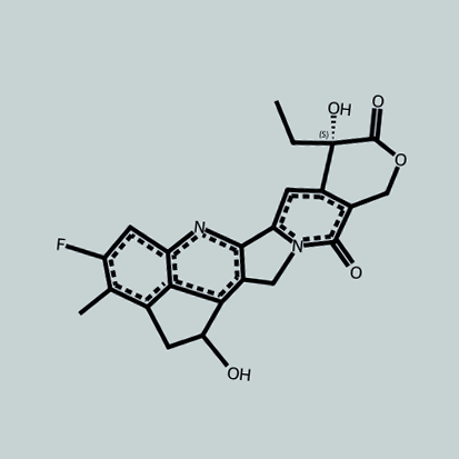 CC[C@@]1(O)C(=O)OCc2c1cc1n(c2=O)Cc2c-1nc1cc(F)c(C)c3c1c2C(O)C3